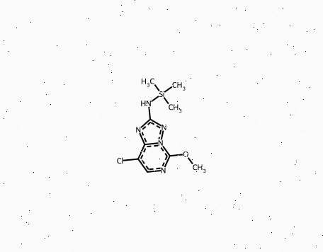 COc1ncc(Cl)c2nc(N[Si](C)(C)C)nn12